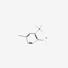 O=[N+]([O-])c1ccc(I)cc1C(F)(F)F